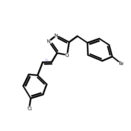 Clc1ccc(/C=C/c2nnc(Cc3ccc(Br)cc3)o2)cc1